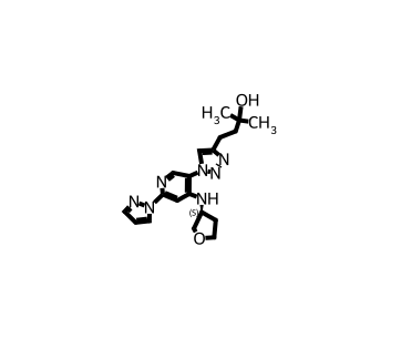 CC(C)(O)CCc1cn(-c2cnc(-n3cccn3)cc2N[C@H]2CCOC2)nn1